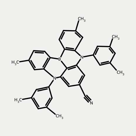 Cc1cc(C)cc(N2c3cc(C)ccc3B3c4ccc(C)cc4N(c4cc(C)cc(C)c4)c4cc(C#N)cc2c43)c1